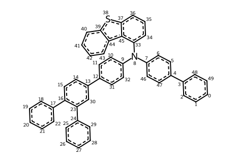 c1ccc(-c2ccc(N(c3ccc(-c4ccc(-c5ccccc5)c(-c5ccccc5)c4)cc3)c3cccc4sc5ccccc5c34)cc2)cc1